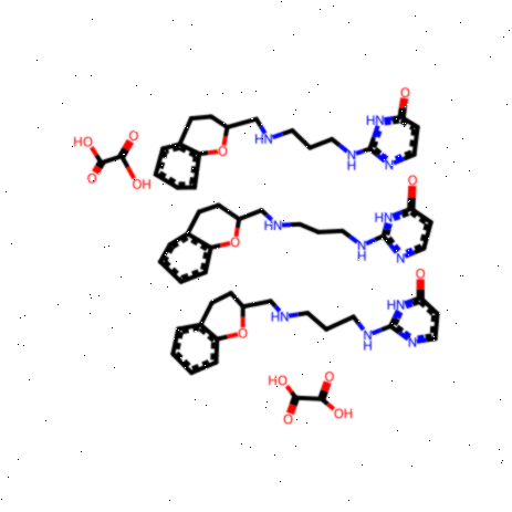 O=C(O)C(=O)O.O=C(O)C(=O)O.O=c1ccnc(NCCCNCC2CCc3ccccc3O2)[nH]1.O=c1ccnc(NCCCNCC2CCc3ccccc3O2)[nH]1.O=c1ccnc(NCCCNCC2CCc3ccccc3O2)[nH]1